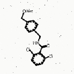 COCc1ccc(CNC(=O)c2c(Cl)cccc2Cl)cc1